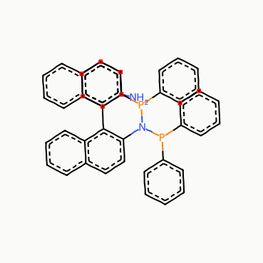 Nc1ccc2ccccc2c1-c1c(N(P(c2ccccc2)c2ccccc2)P(c2ccccc2)c2ccccc2)ccc2ccccc12